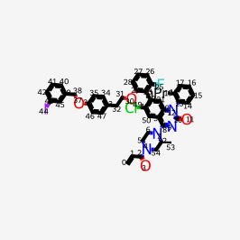 C=CC(=O)N1CCN(c2nc(=O)n(-c3ccccc3CCC)c3cc(-c4c(F)cccc4OCCc4ccc(OCc5cccc(I)c5)cc4)c(Cl)cc23)[C@@H](C)C1